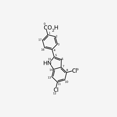 O=C(O)c1ccc(-c2cc3c(Cl)cc(Cl)cc3[nH]2)cc1